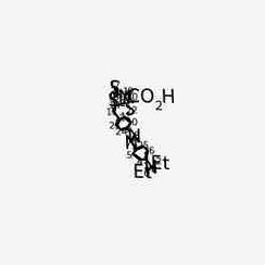 CCN(CC)c1ccc(/N=N/c2ccc(/C=C3/SC(=S)N(CC(=O)O)C3=S)cc2)cc1